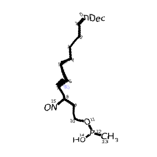 CCCCCCCCCCCCCCC/C=C/C(CCOP(C)O)N=O